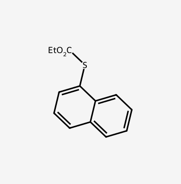 CCOC(=O)Sc1cccc2ccccc12